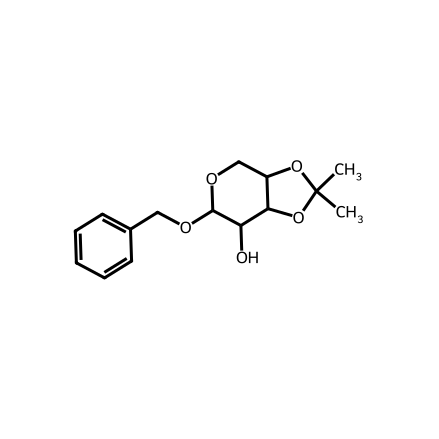 CC1(C)OC2COC(OCc3ccccc3)C(O)C2O1